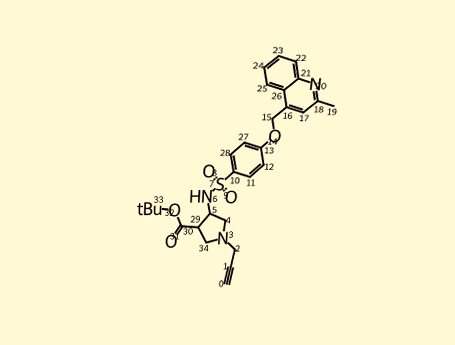 C#CCN1CC(NS(=O)(=O)c2ccc(OCc3cc(C)nc4ccccc34)cc2)C(C(=O)OC(C)(C)C)C1